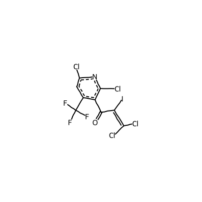 O=C(C(I)=C(Cl)Cl)c1c(C(F)(F)F)cc(Cl)nc1Cl